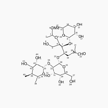 COC(C)OC(CO)[C@@H](O[C@@H]1OC(C)CC(O)[C@@H]1O)[C@@H](CN(C)C=O)O[C@@H]1OC(CO)[C@H](O)[C@H](O)C1O[C@@H]1OC(C)[C@@H](C)C(O)[C@@H]1O